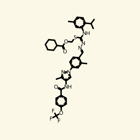 Cc1ccc(C(C)C)c(N/C(=N/N=C/c2ccc(-n3cc(NC(=O)c4ccc(OC(F)(F)F)cc4)c(C)n3)cc2C)SCOC(=O)C2CCCCC2)c1